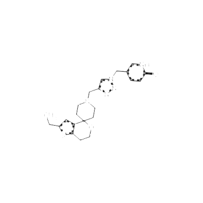 CCc1cc2c(s1)CCOC21CCN(Cc2cn(Cc3ccc(=O)[nH]c3)nn2)CC1